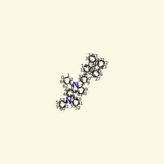 c1ccc(-c2nc3c(-c4ccc(-c5ccc6c(c5)C5(c7ccccc7-c7ccccc75)c5ccccc5-6)cc4)cccc3c3c2ccc2c3c3ccccc3n2-c2ccccc2)cc1